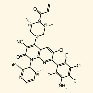 C=CC(=O)N1[C@H](C)CN(c2c(C#N)c(=O)n(C3C(C(C)C)=NC=C[C@H]3C)c3nc(-c4c(F)c(N)c(Cl)c(Cl)c4F)c(Cl)cc23)C[C@@H]1C